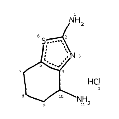 Cl.Nc1nc2c(s1)CCCC2N